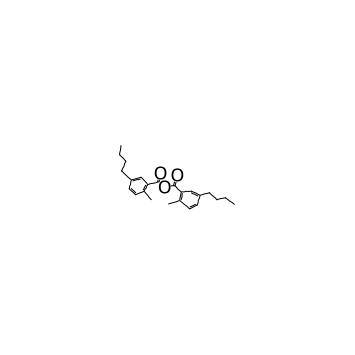 CCCCc1ccc(C)c(C(=O)OC(=O)c2cc(CCCC)ccc2C)c1